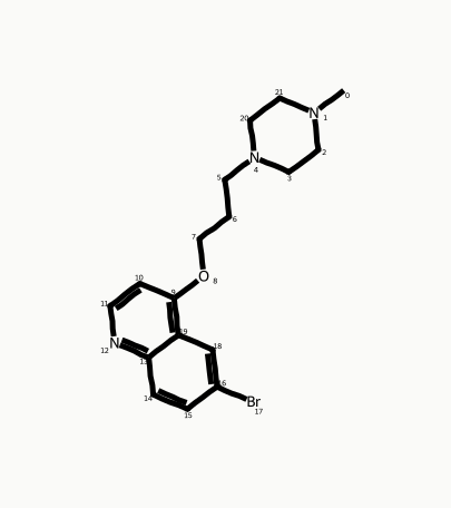 CN1CCN(CCCOc2ccnc3ccc(Br)cc23)CC1